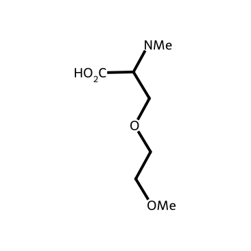 CNC(COCCOC)C(=O)O